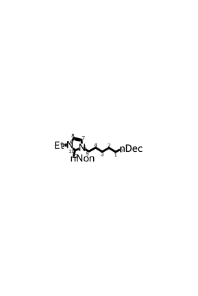 CCCCCCCCCCCCCCCN1C=CN(CC)C1CCCCCCCCC